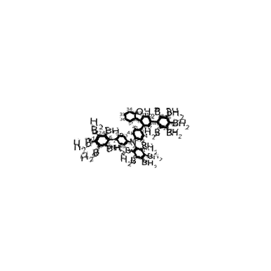 Bc1c(B)c(B)c(-c2ccc(N(c3ccc(-c4cc(-c5c(B)c(B)c(B)c(B)c5B)cc5oc6ccccc6c45)cc3)c3c(B)c(B)c(B)c(B)c3B)cc2)c(B)c1B